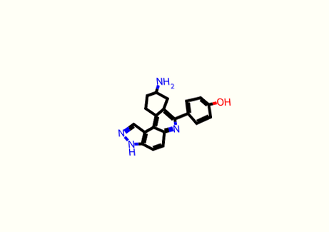 NC1CCc2c(c(-c3ccc(O)cc3)nc3ccc4[nH]ncc4c23)C1